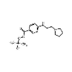 CC(C)(C)OOC(=O)c1ccc(NCCN2CCCC2)cc1